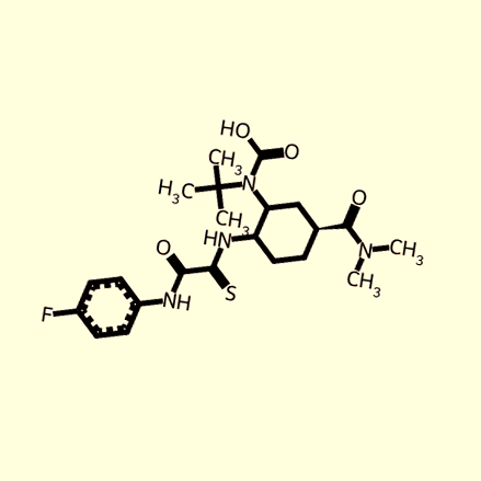 CN(C)C(=O)[C@H]1CCC(NC(=S)C(=O)Nc2ccc(F)cc2)C(N(C(=O)O)C(C)(C)C)C1